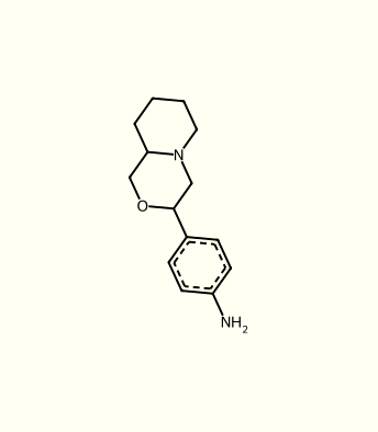 Nc1ccc(C2CN3CCCCC3CO2)cc1